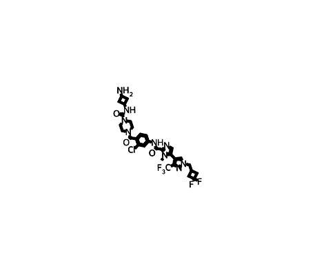 Cn1c(-c2cn(CC3CC(F)(F)C3)nc2C(F)(F)F)cnc1C(=O)Nc1ccc(C(=O)N2CCN(C(=O)NC3CC(N)C3)CC2)c(Cl)c1